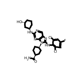 NC(=O)[C@H]1CC[C@@H](n2c(Nc3c(Cl)cc(F)cc3Cl)nc3cnc(N[C@H]4CCC[C@@H](O)C4)nc32)CC1